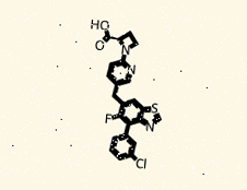 O=C(O)[C@H]1CCN1c1ccc(Cc2cc3scnc3c(-c3cccc(Cl)c3)c2F)cn1